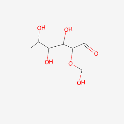 CC(O)C(O)C(O)C(C=O)OCO